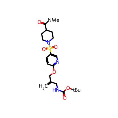 C=C(CNC(=O)OC(C)(C)C)COc1ccc(S(=O)(=O)N2CCC(C(=O)NC)CC2)cn1